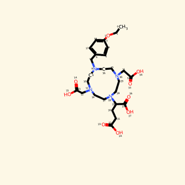 CCOc1ccc(CN2CCN(CC(=O)O)CCN(C(CCC(=O)O)C(=O)O)CCN(CC(=O)O)CC2)cc1